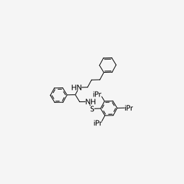 CC(C)c1cc(C(C)C)c(SNCC(NCCCC2=CCC=CC2)c2ccccc2)c(C(C)C)c1